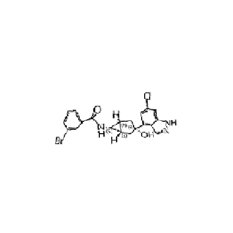 O=C(N[C@@H]1[C@@H]2C[C@@](O)(c3cc(Cl)cc4[nH]ncc34)C[C@@H]21)c1cccc(Br)c1